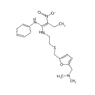 CCC(=C(NCCSCc1ccc(CN(C)C)o1)NC1=CCC=CC1)[N+](=O)[O-]